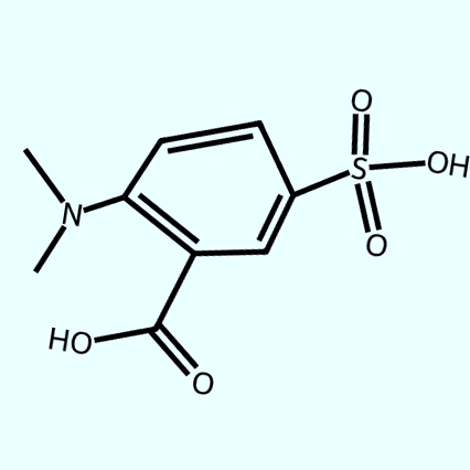 CN(C)c1ccc(S(=O)(=O)O)cc1C(=O)O